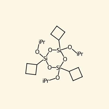 CC(C)O[Si]1(C2CCC2)O[Si](OC(C)C)(C2CCC2)O[Si](OC(C)C)(C2CCC2)O1